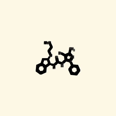 COCCO[C@H]1Cc2ccccc2[C@@H]1NC(=O)Nc1c(Br)c(C)nn1-c1ccccc1